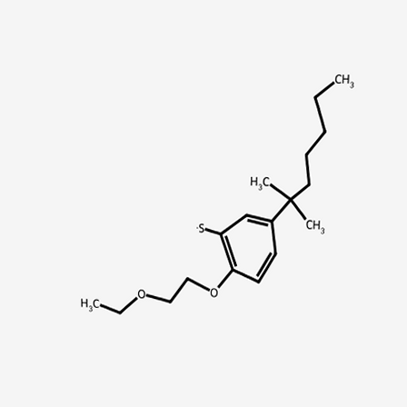 CCCCCC(C)(C)c1ccc(OCCOCC)c([S])c1